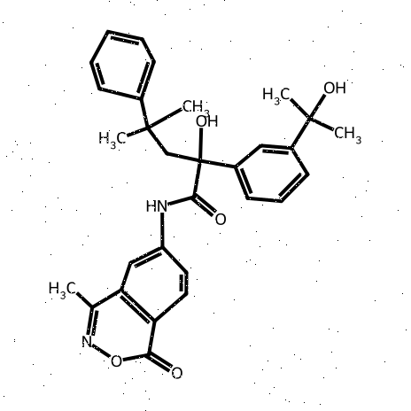 Cc1noc(=O)c2ccc(NC(=O)C(O)(CC(C)(C)c3ccccc3)c3cccc(C(C)(C)O)c3)cc12